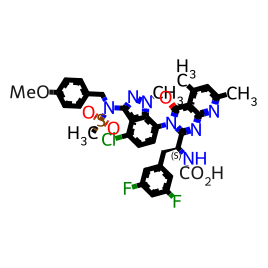 COc1ccc(CN(c2nn(C)c3c(-n4c([C@H](Cc5cc(F)cc(F)c5)NC(=O)O)nc5nc(C)cc(C)c5c4=O)ccc(Cl)c23)S(C)(=O)=O)cc1